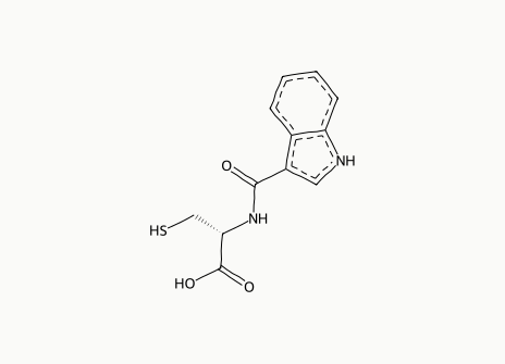 O=C(N[C@@H](CS)C(=O)O)c1c[nH]c2ccccc12